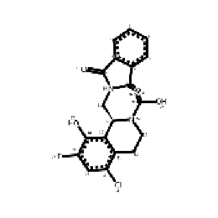 O=C1c2ccccc2C(=O)N1C[C@@H]1c2c(O)c(F)cc(Cl)c2CCN1C(=O)O